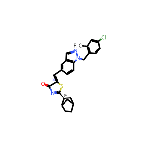 O=C1N=C([C@H]2CC3CCC2C3)S/C1=C\c1ccc2c(cnn2Cc2ccc(Cl)cc2C(F)(F)F)c1